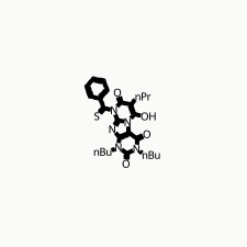 CCCCn1c(=O)c2c(nc3n(C(=S)c4ccccc4)c(=O)c(CCC)c(O)n23)n(CCCC)c1=O